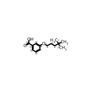 CC(C)(C)CCCOc1cccc(C(=O)O)c1